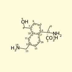 C[C@](N)(C(=O)O)c1ccc(CO)c2cc(CN)ccc12